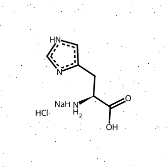 Cl.N[C@@H](Cc1c[nH]cn1)C(=O)O.[NaH]